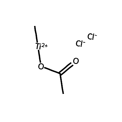 [CH3][Ti+2][O]C(C)=O.[Cl-].[Cl-]